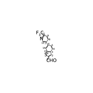 O=Cc1cc2ccc(-c3ccc(C(F)(F)F)nc3)cc2s1